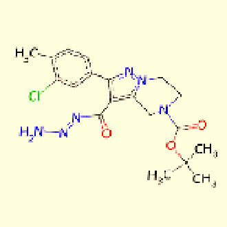 Cc1ccc(-c2nn3c(c2C(=O)N=NN)CN(C(=O)OC(C)(C)C)CC3)cc1Cl